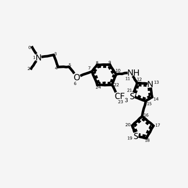 CN(C)CCCOc1ccc(Nc2ncc(-c3ccsc3)s2)c(C(F)(F)F)c1